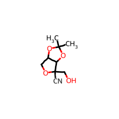 CC1(C)OC2COC(C#N)(CO)C2O1